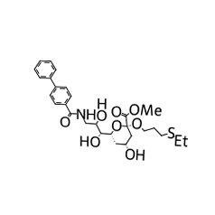 CCSCCCO[C@]1(C(=O)OC)C[C@H](O)C[C@H]([C@H](O)C(O)CNC(=O)c2ccc(-c3ccccc3)cc2)O1